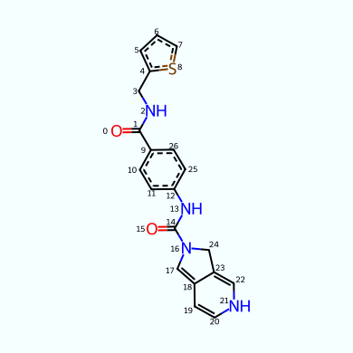 O=C(NCc1cccs1)c1ccc(NC(=O)N2C=C3C=CNC=C3C2)cc1